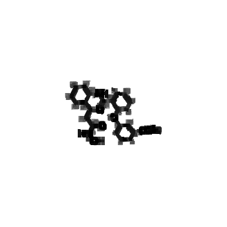 COc1cccc(Oc2ccccc2C(=O)Nc2ccccc2C=CC(=O)NO)c1